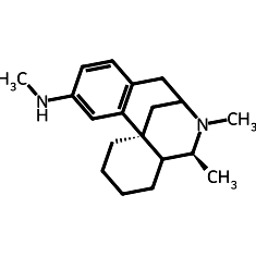 CNc1ccc2c(c1)[C@]13CCCCC1[C@H](C)N(C)C(C2)C3